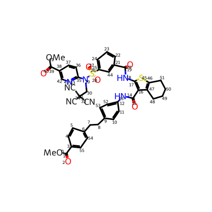 COC(=O)c1ccc(CCc2ccc(NC(=O)c3c(NC(=O)c4cccc(S(=O)(=O)N(CC(C#N)(C#N)C#N)c5ccc(C(=O)OC)cn5)c4)sc4c3CCCC4)cc2)cc1